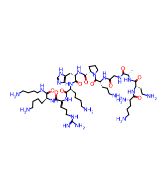 C[C@H](NC(=O)[C@H](CCN)NC(=O)[C@@H](N)CCCN)C(=O)NCC(=O)N[C@H](CCCN)C(=O)N1CCC[C@H]1C(=O)N[C@@H](Cc1cnc[nH]1)C(=O)N[C@@H](CCCCN)C(=O)N/C(=C\CCNC(=N)N)C(=O)N[C@@H](CCCCN)C(=O)NCCCCN